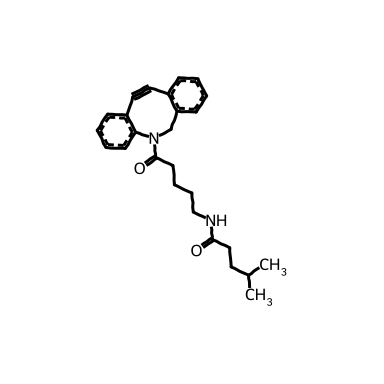 CC(C)CCC(=O)NCCCCC(=O)N1Cc2ccccc2C#Cc2ccccc21